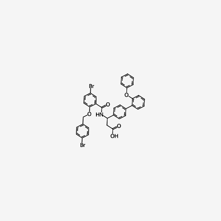 O=C(O)CC(NC(=O)c1cc(Br)ccc1OCc1ccc(Br)cc1)c1ccc(-c2ccccc2Oc2ccccc2)cc1